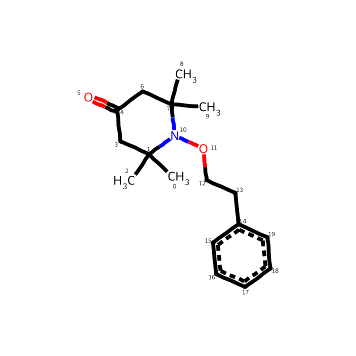 CC1(C)CC(=O)CC(C)(C)N1OCCc1ccccc1